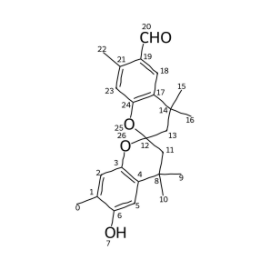 Cc1cc2c(cc1O)C(C)(C)CC1(CC(C)(C)c3cc(C=O)c(C)cc3O1)O2